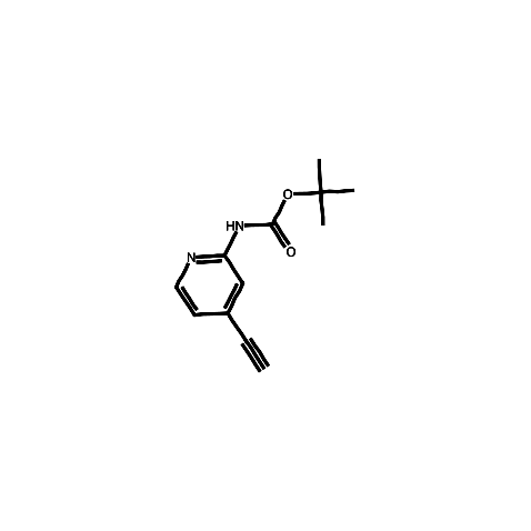 C#Cc1ccnc(NC(=O)OC(C)(C)C)c1